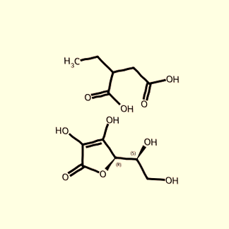 CCC(CC(=O)O)C(=O)O.O=C1O[C@H]([C@@H](O)CO)C(O)=C1O